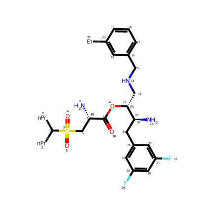 CCCC(CCC)S(=O)(=O)C[C@H](N)C(=O)O[C@H](CNCc1cccc(CC)c1)[C@@H](N)Cc1cc(F)cc(F)c1